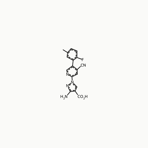 Cc1ccc(F)c(-c2cnc(-n3cc(C(=O)O)c(N)n3)cc2C#N)c1